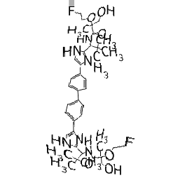 CC(CO)(OCCF)C(=O)N[C@H](c1nc(-c2ccc(-c3ccc(-c4c[nH]c([C@@H](NC(=O)C(C)(CO)OCCF)C(C)(C)C)n4)cc3)cc2)c[nH]1)C(C)(C)C